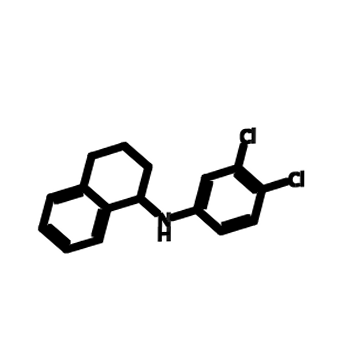 Clc1ccc(NC2CCCc3ccccc32)cc1Cl